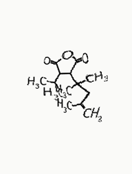 CC(C)CC(C)(C)C1C(=O)OC(=O)C1C(C)C